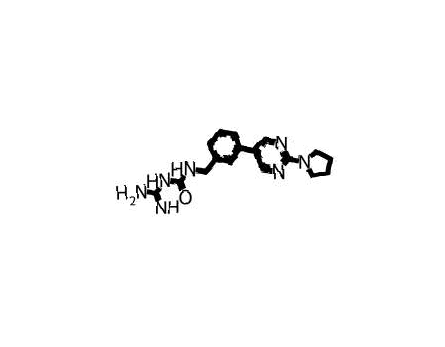 N=C(N)NC(=O)NCc1cccc(-c2cnc(N3CCCC3)nc2)c1